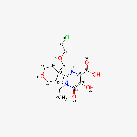 CCn1c(C2(COCCCl)CCOCC2)nc(C(=O)O)c(O)c1=O